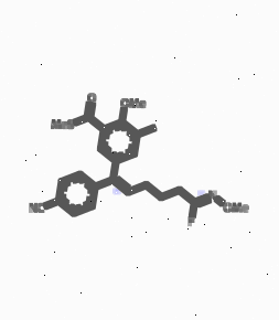 CO/N=C(\F)CCC/C=C(/c1ccc(C#N)cc1)c1cc(C)c(OC)c(C(=O)SC)c1